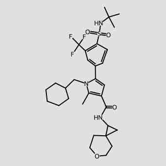 Cc1c(C(=O)NC2CC23CCOCC3)cc(-c2ccc(S(=O)(=O)NC(C)(C)C)c(C(F)(F)F)c2)n1CC1CCCCC1